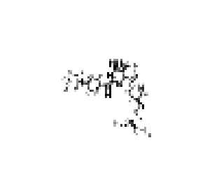 CN(C)CCOc1ccc(-c2nccc3c(N)nc(Nc4ccc(N5CCOCC5)cc4)nc23)nc1